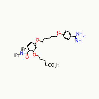 CC(C)N(C(=O)c1ccc(OCCCCCOc2ccc(C(=N)N)cc2)cc1OCCCCC(=O)O)C(C)C